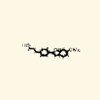 COc1ccc2cc(-c3ccc(CCCO)cc3)oc2c1